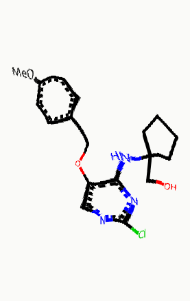 COc1ccc(COc2cnc(Cl)nc2NC2(CO)CCCC2)cc1